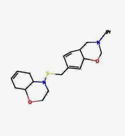 CC(C)N1COC2C=C(CSN3CCOC4CC=CCC43)C=CC2C1